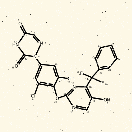 O=c1cnn(-c2cc(Cl)c(Oc3ncc(O)c(C(F)(F)c4ccccc4)n3)c(Cl)c2)c(=O)[nH]1